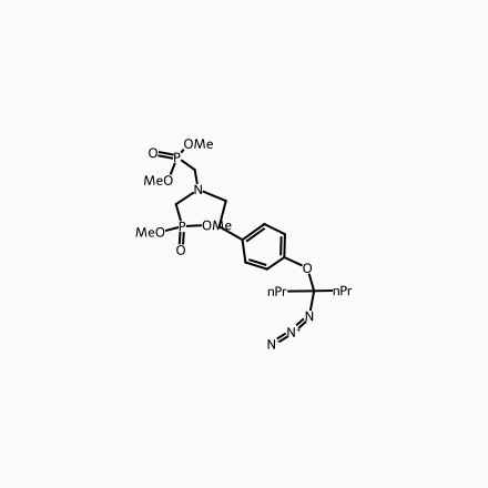 CCCC(CCC)(N=[N+]=[N-])Oc1ccc(CCN(CP(=O)(OC)OC)CP(=O)(OC)OC)cc1